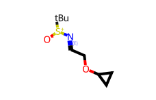 CC(C)(C)[S+]([O-])/N=C/COC1CC1